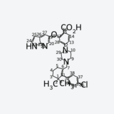 CC1(C)CCCC(CN2CCN(c3ccc(C(=O)O)c(Oc4cnc5[nH]ccc5c4)c3)CC2)=C1c1ccc(Cl)cc1